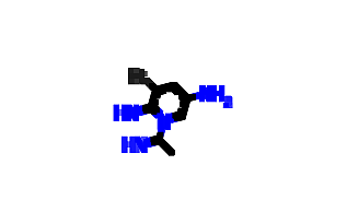 CCc1cc(N)cn(C(C)=N)c1=N